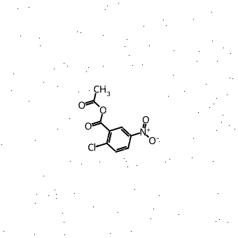 CC(=O)OC(=O)c1cc([N+](=O)[O-])ccc1Cl